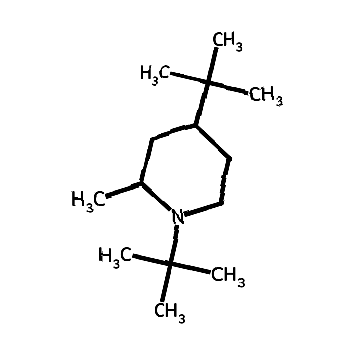 CC1CC(C(C)(C)C)CCN1C(C)(C)C